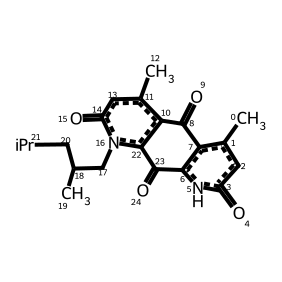 Cc1cc(=O)[nH]c2c1C(=O)c1c(C)cc(=O)n(CC(C)CC(C)C)c1C2=O